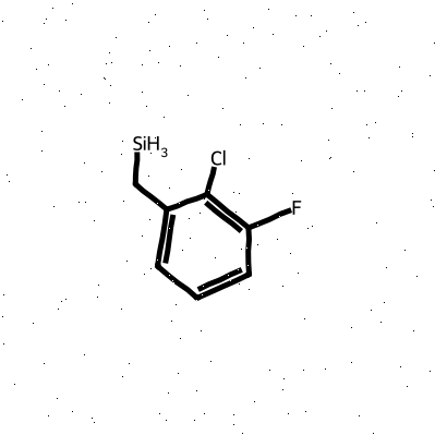 Fc1cccc(C[SiH3])c1Cl